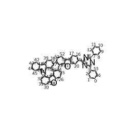 c1ccc(-c2nc(-c3ccccc3)nc(-c3ccc4c(c3)oc3c(-c5ccc6oc7cccc(-n8c9ccccc9c9ccccc98)c7c6c5)cccc34)n2)cc1